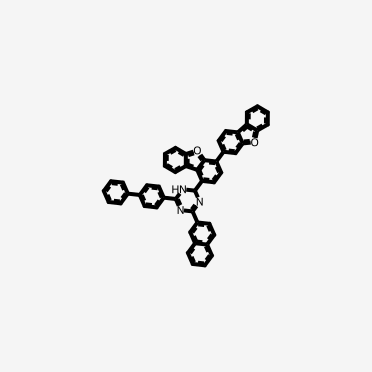 c1ccc(-c2ccc(C3=NC(c4ccc5ccccc5c4)=NC(c4ccc(-c5ccc6c(c5)oc5ccccc56)c5oc6ccccc6c45)N3)cc2)cc1